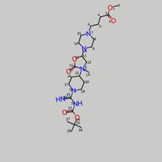 COC(=O)CCCN1CCN(C2C[N+](C)(C3CCN(C(=N)NC(=O)OC(C)(C)C)CC3)C(=O)O2)CC1